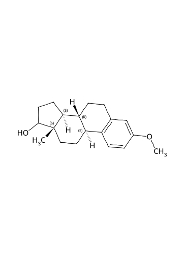 COc1ccc2c(c1)CC[C@@H]1[C@@H]2CC[C@]2(C)C(O)CC[C@@H]12